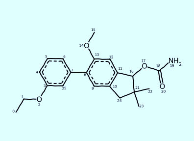 CCOc1cccc(-c2cc3c(cc2OC)C(OC(N)=O)C(C)(C)C3)c1